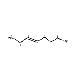 CCCCC/C=C/CCCO